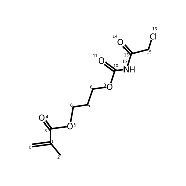 C=C(C)C(=O)OCCCOC(=O)NC(=O)CCl